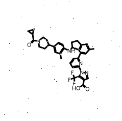 Cc1cc2c(c(-c3cccc(-n4ncc(C(=O)O)c4C(F)(F)F)n3)c1)C(Nc1ccc(C3CCN(C(=O)C4CC4)CC3)cc1C)CC2